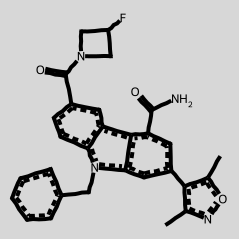 Cc1noc(C)c1-c1cc(C(N)=O)c2c3cc(C(=O)N4CC(F)C4)ccc3n(Cc3ccccc3)c2c1